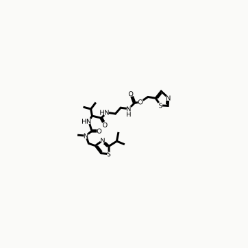 CC(C)c1nc(CN(C)C(=O)NC(C(=O)NCCNC(=O)OCc2cncs2)C(C)C)cs1